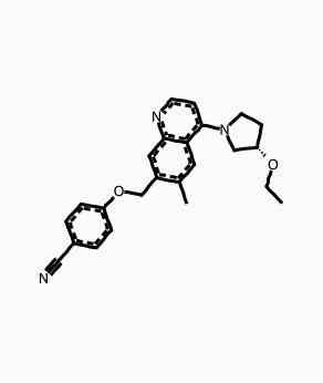 CCO[C@H]1CCN(c2ccnc3cc(COc4ccc(C#N)cc4)c(C)cc23)C1